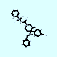 O=C(OS(=O)(=O)c1ccccn1)N1CCC(NCc2ccccc2)(c2ccc(F)cc2)C(Cl)C1